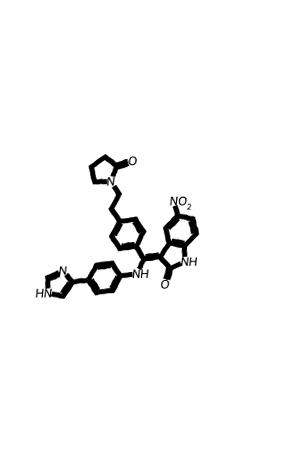 O=C1Nc2ccc([N+](=O)[O-])cc2/C1=C(/Nc1ccc(-c2c[nH]cn2)cc1)c1ccc(CCN2CCCC2=O)cc1